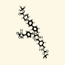 CC(C)(C)OC(=O)NCC1CCC(C(=O)N[C@@H](Cc2ccc(-c3ccc(N4CCN(C(=O)OC(C)(C)C)CC4)cc3)cc2)C(=O)Nc2ccc(-c3noc(=O)[nH]3)cc2)CC1